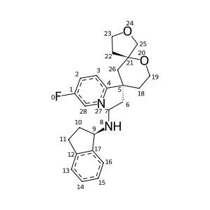 Fc1ccc([C@]2(CCN[C@@H]3CCc4ccccc43)CCO[C@]3(CCOC3)C2)nc1